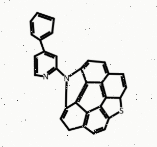 C1=CC2Sc3ccc4c5c3c2c2c1ccc1c2c5c(n1-c1cc(-c2ccccc2)ccn1)=CC4